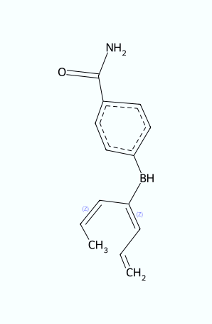 C=C/C=C(Bc1ccc(C(N)=O)cc1)\C=C/C